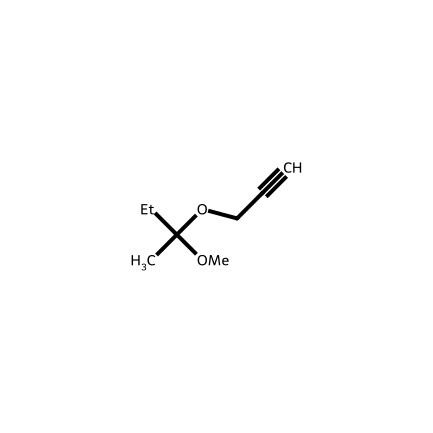 C#CCOC(C)(CC)OC